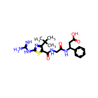 CC(C)(C)c1nc(NC(=N)N)sc1C(=O)NCC(=O)NC(CC(=O)O)c1ccccc1